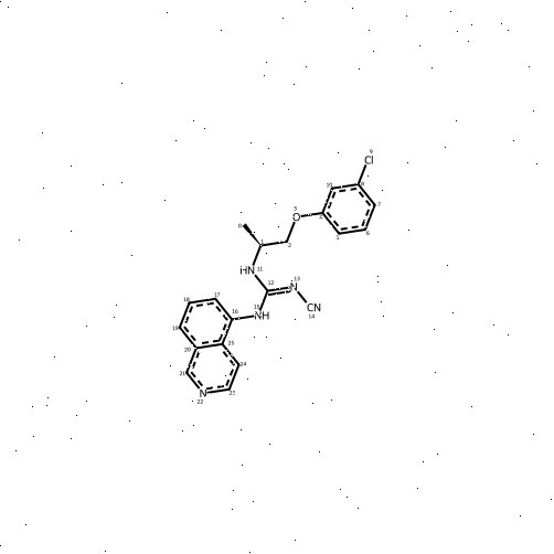 C[C@@H](COc1cccc(Cl)c1)N/C(=N/C#N)Nc1cccc2cnccc12